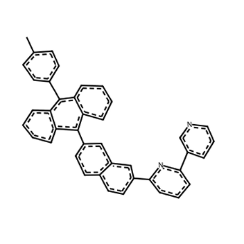 Cc1ccc(-c2c3ccccc3c(-c3ccc4ccc(-c5cccc(-c6cccnc6)n5)cc4c3)c3ccccc23)cc1